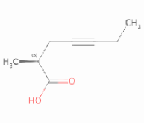 CCC#CC[C@H](C)C(=O)O